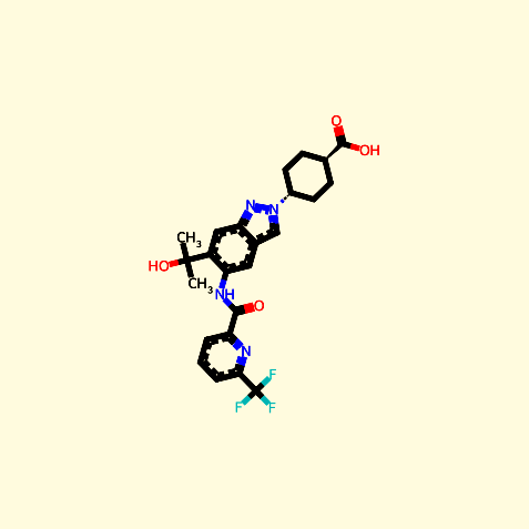 CC(C)(O)c1cc2nn([C@H]3CC[C@H](C(=O)O)CC3)cc2cc1NC(=O)c1cccc(C(F)(F)F)n1